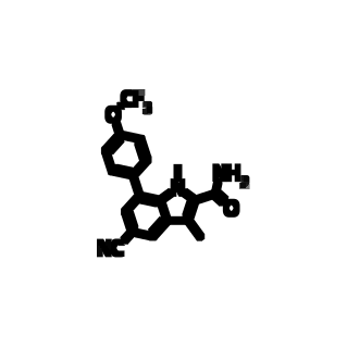 Cc1c(C(N)=O)n(C)c2c(-c3ccc(OC(F)(F)F)cc3)cc(C#N)cc12